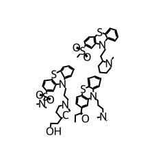 CCC(=O)c1ccc2c(c1)N(CCCN(C)C)c1ccccc1S2.CN(C)S(=O)(=O)c1ccc2c(c1)N(CCCN1CCC(CCO)CC1)c1ccccc1S2.CN1CCCCC1CCN1c2ccccc2Sc2ccc(S(C)(=O)=O)cc21